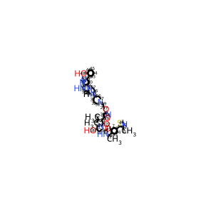 Cc1ncsc1-c1ccc([C@H](C)NC(=O)[C@@H]2C[C@@H](O)CN2C(=O)[C@@H](c2cc(OCCN3CCCC(N4CCN5c6cc(-c7ccccc7O)nnc6NC[C@H]5C4)CC3)no2)C(C)C)cc1